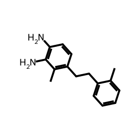 Cc1ccccc1CCc1ccc(N)c(N)c1C